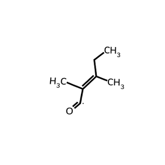 CC/C(C)=C(\C)[C]=O